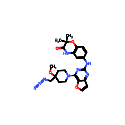 COC1(CN=[N+]=[N-])CCN(c2nc(Nc3ccc4c(c3)NC(=O)C(C)(C)O4)nc3ccoc23)CC1